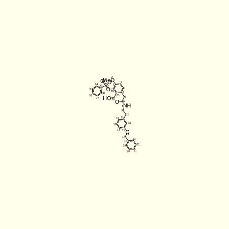 COc1ccc(CC(=O)NCCc2cccc(OCc3ccccc3)c2)c(CO)c1OS(=O)(=O)c1ccccc1